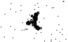 CC1Cc2nc(C(=O)N3CCN(S(=O)(=O)c4sc5cc(Cl)ccc5c4CN(C)C)CC3CC(=O)N3CCOCC3)sc2CN1